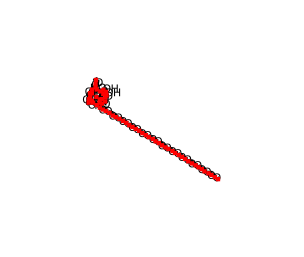 COCCOCCOCCOCCOCCOCCOCCOCCOCCOCCOCCOCCOCCOCCOCCOCCOCCOCCOCCOCCOCCOCCOCCOCCN(CCC(=O)N[C@H](C(=O)N[C@@H](C)C(=O)Nc1ccc(COC(=O)C(C)(C)C)c(CC[C@@H]2O[C@H](C(=O)O)[C@@H](O)[C@H](O)[C@H]2O)c1)C(C)C)C(=O)CN(C(C)=O)C(=O)/C=C/C(C)(C)C